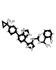 CC(OC(=O)Nc1cnoc1-c1ccc(-c2ccc(C3(C(=O)O)CC3)cc2)c2[nH]cnc12)c1ccccc1Cl